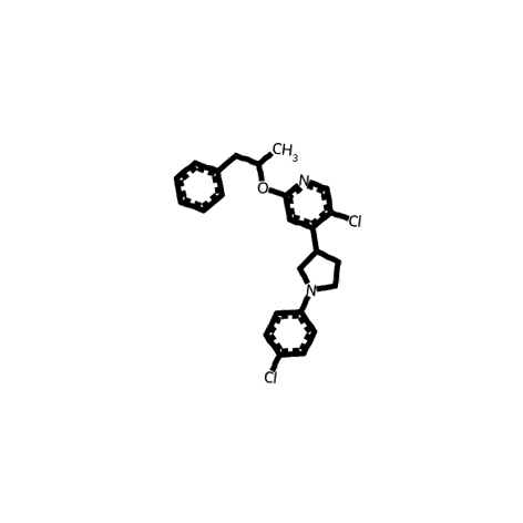 CC(Cc1ccccc1)Oc1cc(C2CCN(c3ccc(Cl)cc3)C2)c(Cl)cn1